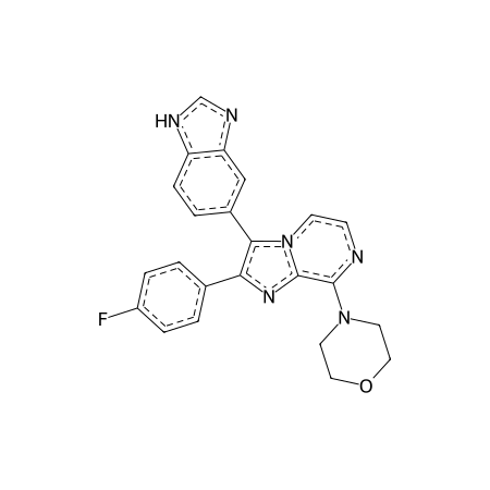 Fc1ccc(-c2nc3c(N4CCOCC4)nccn3c2-c2ccc3[nH]cnc3c2)cc1